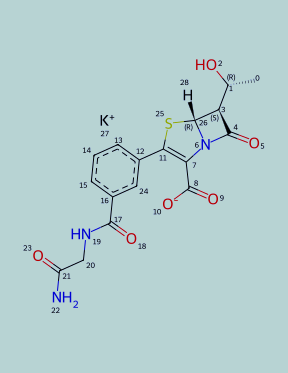 C[C@@H](O)[C@H]1C(=O)N2C(C(=O)[O-])=C(c3cccc(C(=O)NCC(N)=O)c3)S[C@H]12.[K+]